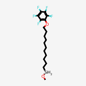 CO[SiH2]CCCCCCCCCCCOc1c(F)c(F)c(F)c(F)c1F